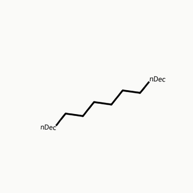 CCC[CH]CCCCCCCCCCCCCCCCCCCCCC